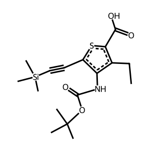 CCc1c(C(=O)O)sc(C#C[Si](C)(C)C)c1NC(=O)OC(C)(C)C